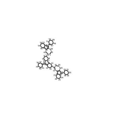 C1=CC(c2ccc3c(c2)c2cc(C4=Cc5c(n(-c6ccccc6)c6ccccc56)CC=C4)ccc2n3-c2ccccc2)=Cc2c(n(-c3ccccc3)c3ccccc23)C1